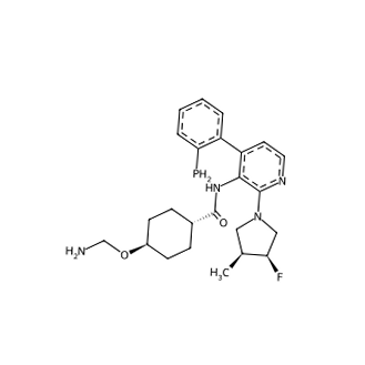 C[C@H]1CN(c2nccc(-c3ccccc3P)c2NC(=O)[C@H]2CC[C@H](OCN)CC2)C[C@H]1F